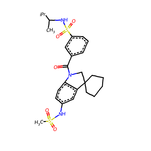 CC(C)C(C)NS(=O)(=O)c1cccc(C(=O)N2CC3(CCCCC3)c3cc(NS(C)(=O)=O)ccc32)c1